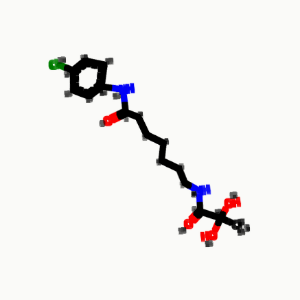 O=C(CCCCCCNC(=O)C(O)(O)C(F)(F)F)Nc1ccc(Cl)cc1